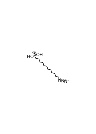 [N-]=[N+]=NCCCCCCCCCCCCP(=O)(O)O